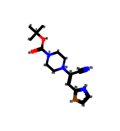 CC(C)(C)OC(=O)N1CCN(C(C#N)=Cc2nccs2)CC1